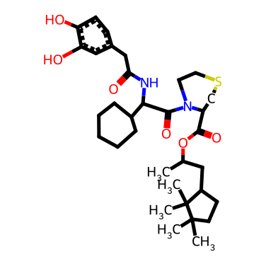 CC(CC1CCC(C)(C)C1(C)C)OC(=O)C1CSCCN1C(=O)C(NC(=O)Cc1ccc(O)c(O)c1)C1CCCCC1